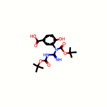 CC(C)(C)OC(=O)NC(=N)N(C(=O)OC(C)(C)C)c1cc(C(=O)O)ccc1O